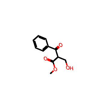 COC(=O)C(CO)C(=O)c1ccccc1